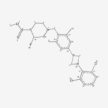 COC(=O)C1CCN(Cc2c(C)cc(C3CN(c4c(Cl)cccc4Cl)C3)cc2C)CC1F